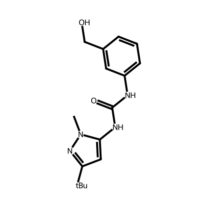 Cn1nc(C(C)(C)C)cc1NC(=O)Nc1cccc(CO)c1